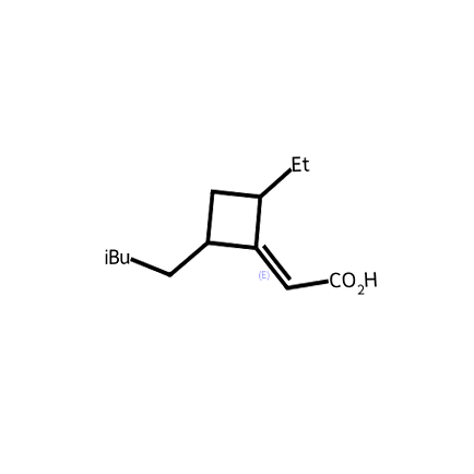 CCC(C)CC1CC(CC)/C1=C\C(=O)O